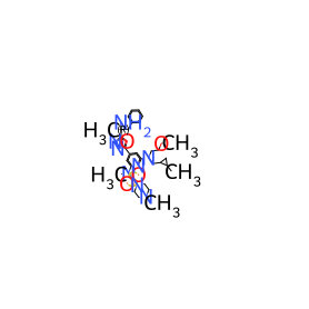 COCCN(CC1CC1C)c1cc(-c2nnc([C@](C)(N)Cc3ccccc3)o2)cc(N(C)S(=O)(=O)N2CCN(C)CC2)n1